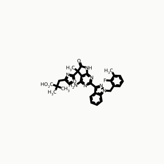 Cc1cccc(Cn2nc(-c3nc(N)c4c(n3)NC(=O)C4(C)c3nc(CC(C)(C)C(=O)O)co3)c3ccccc32)c1F